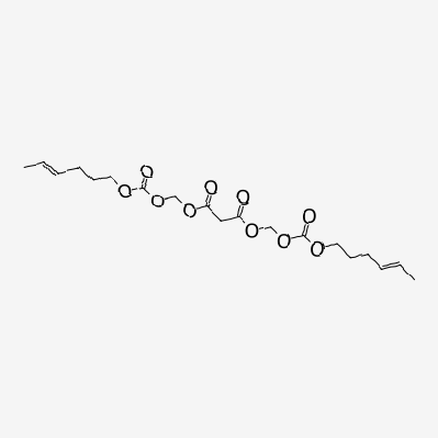 C/C=C/CCCOC(=O)OCOC(=O)CC(=O)OCOC(=O)OCCC/C=C/C